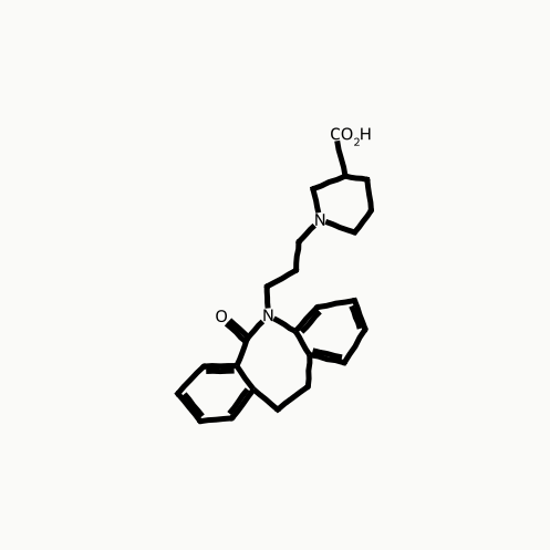 O=C(O)C1CCCN(CCCN2C(=O)c3ccccc3CCc3ccccc32)C1